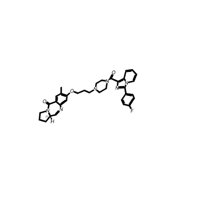 Cc1cc2c(cc1OCCCN1CCN(C(=O)c3nc(-c4ccc(F)cc4)n4ccccc34)CC1)N=C[C@@H]1CCCN1C2=O